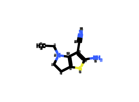 CCN1CCc2sc(N)c(C#N)c21